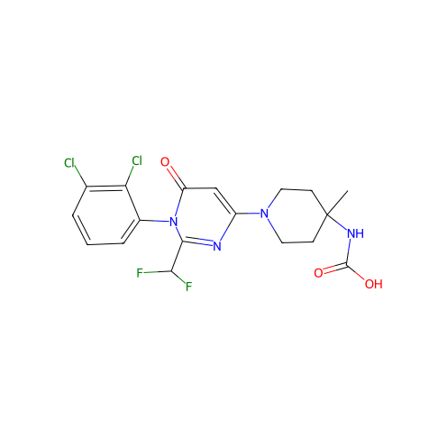 CC1(NC(=O)O)CCN(c2cc(=O)n(-c3cccc(Cl)c3Cl)c(C(F)F)n2)CC1